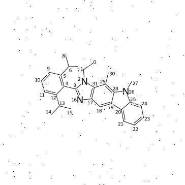 CCn1c(-c2c(C(C)C)cccc2C(C)C)nc2cc3c4ccccc4n(C)c3c(C)c21